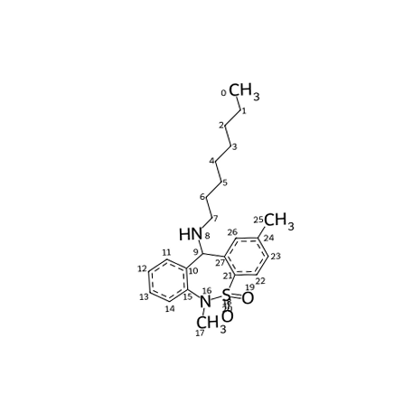 CCCCCCCCNC1c2ccccc2N(C)S(=O)(=O)c2ccc(C)cc21